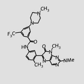 CNc1ncc2nc(-c3cc(NC(=O)c4cc(N5CCN(C)CC5)cc(C(F)(F)F)c4)ccc3C)c(=O)n(C)c2n1